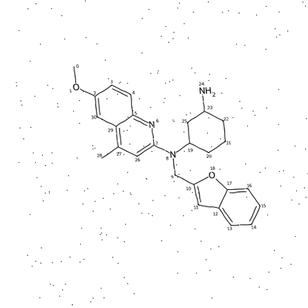 COc1ccc2nc(N(Cc3cc4ccccc4o3)C3CCCC(N)C3)cc(C)c2c1